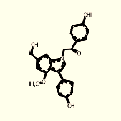 COc1cc(CO)cc2c1c(-c1ccc(O)cc1)cn2CC(=O)c1ccc(O)cc1